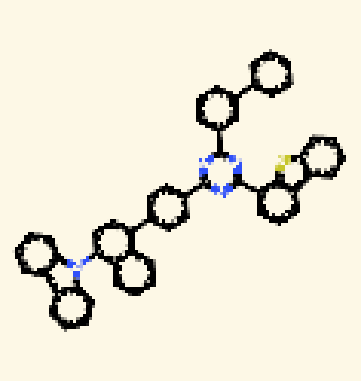 c1ccc(-c2cccc(-c3nc(-c4ccc(-c5ccc(-n6c7ccccc7c7ccccc76)c6ccccc56)cc4)nc(-c4cccc5c4sc4ccccc45)n3)c2)cc1